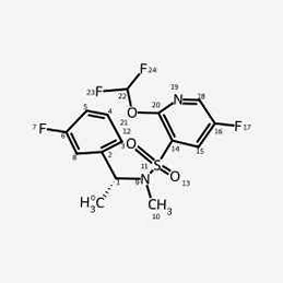 C[C@H](c1cccc(F)c1)N(C)S(=O)(=O)c1cc(F)cnc1OC(F)F